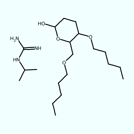 CC(C)NC(=N)N.CCCCCOCC1OC(O)CCC1OCCCCC